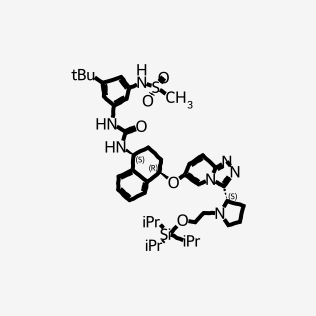 CC(C)[Si](OCCN1CCC[C@H]1c1nnc2ccc(O[C@@H]3CC[C@H](NC(=O)Nc4cc(NS(C)(=O)=O)cc(C(C)(C)C)c4)c4ccccc43)cn12)(C(C)C)C(C)C